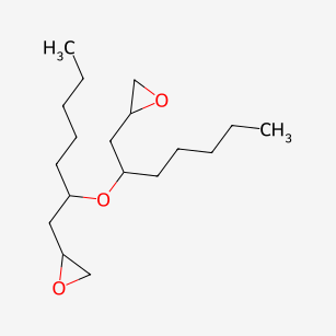 CCCCCC(CC1CO1)OC(CCCCC)CC1CO1